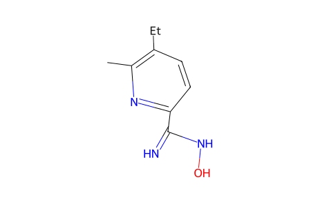 CCc1ccc(C(=N)NO)nc1C